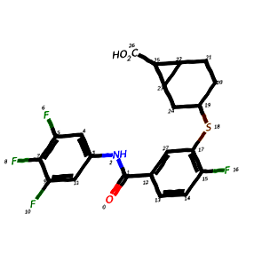 O=C(Nc1cc(F)c(F)c(F)c1)c1ccc(F)c(SC2CCC3C(C2)C3C(=O)O)c1